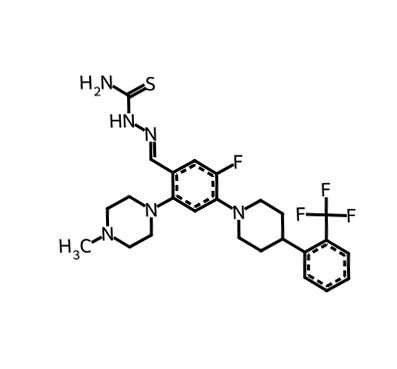 CN1CCN(c2cc(N3CCC(c4ccccc4C(F)(F)F)CC3)c(F)cc2C=NNC(N)=S)CC1